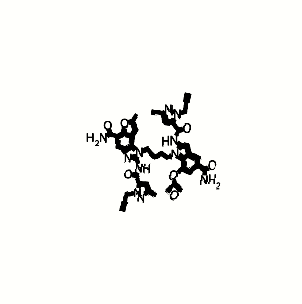 C#CCn1nc(C)cc1C(=O)Nc1cc2cc(C(N)=O)cc(OC3COC3)c2n1C/C=C/Cn1c(NC(=O)c2cc(C)nn2CC#C)nc2cc(C(N)=O)c3oc(C)cc3c21